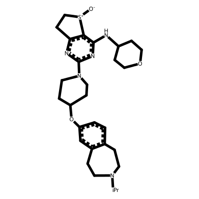 CC(C)N1CCc2ccc(OC3CCN(c4nc5c(c(NC6CCOCC6)n4)[S+]([O-])CC5)CC3)cc2CC1